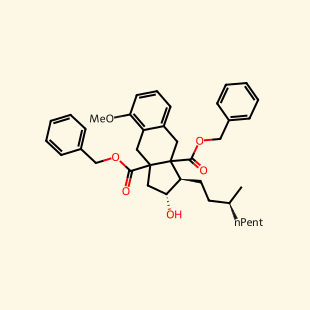 CCCCC[C@H](C)CC[C@H]1[C@H](O)CC2(C(=O)OCc3ccccc3)Cc3c(cccc3OC)CC12C(=O)OCc1ccccc1